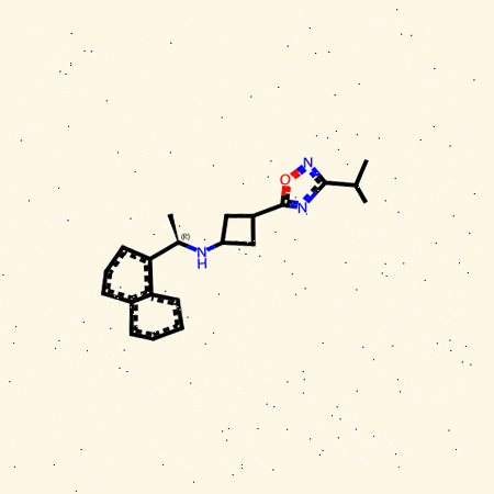 CC(C)c1noc(C2CC(N[C@H](C)c3cccc4ccccc34)C2)n1